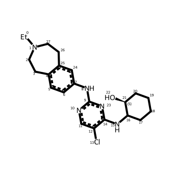 CCN1CCc2ccc(Nc3ncc(Cl)c(NC4CCCC[C@@H]4O)n3)cc2CC1